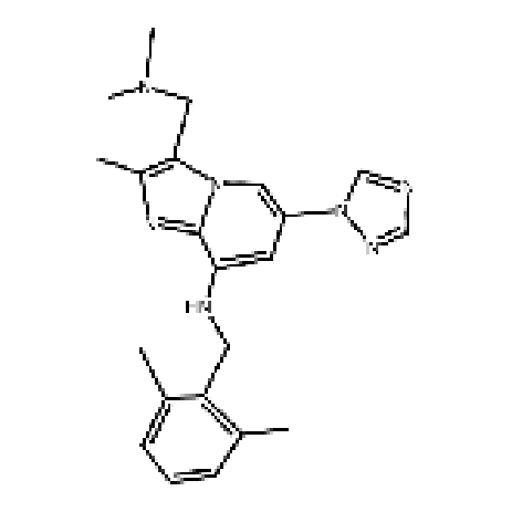 Cc1cccc(C)c1CNc1cc(-n2cncn2)cn2c(CN(C)C)c(C)nc12